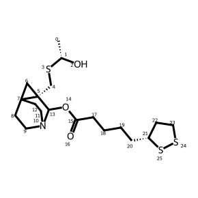 C[C@H](O)SC[C@@]12CC13CCN(CC3)C2OC(=O)CCCC[C@@H]1CCSS1